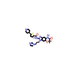 CC1(C)Oc2cc3c(cc2NC1=O)nc(NC(=O)c1ccc(-c2ccncc2)s1)n3CCCn1ccnc1